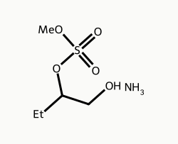 CCC(CO)OS(=O)(=O)OC.N